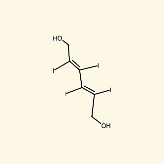 OC/C(I)=C(I)/C(I)=C(\I)CO